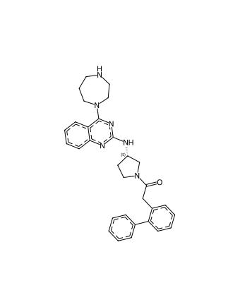 O=C(Cc1ccccc1-c1ccccc1)N1CC[C@H](Nc2nc(N3CCCNCC3)c3ccccc3n2)C1